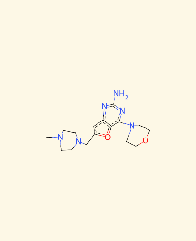 CN1CCN(Cc2cc3nc(N)nc(N4CCOCC4)c3o2)CC1